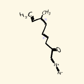 C=C/C(C)=C\C=C\CC(=O)C=[N+]=[N-]